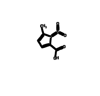 CC1=CC=C(C(=O)O)S1=S(=O)=O